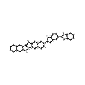 c1ccc2cc3c(cc2c1)sc1c2cc4ccc(-c5cc6cc(-c7cc8ccccc8s7)ccc6s5)cc4cc2sc31